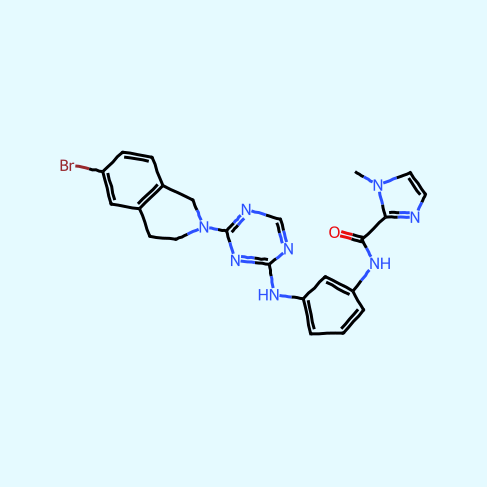 Cn1ccnc1C(=O)Nc1cccc(Nc2ncnc(N3CCc4cc(Br)ccc4C3)n2)c1